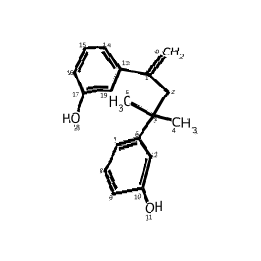 C=C(CC(C)(C)c1cccc(O)c1)c1cccc(O)c1